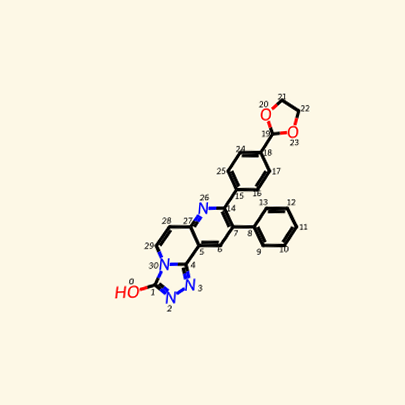 Oc1nnc2c3cc(-c4ccccc4)c(-c4ccc(C5OCCO5)cc4)nc3ccn12